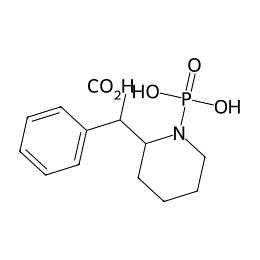 O=C(O)C(c1ccccc1)C1CCCCN1P(=O)(O)O